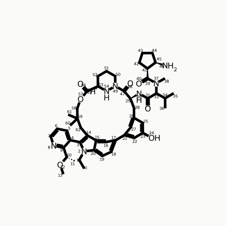 CCn1c(-c2cccnc2[C@H](C)OC)c2c3cc(ccc31)-c1cc(O)cc(c1)C[C@H](NC(=O)C(C(C)C)N(C)C(=O)[C@H]1CCC[C@H]1N)C(=O)N1CCC[C@H](N1)C(=O)OCC(C)(C)C2